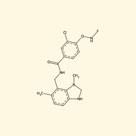 Cc1ccc2c(c1CNC(=O)c1ccc(ONF)c(Cl)c1)N(C)CN2